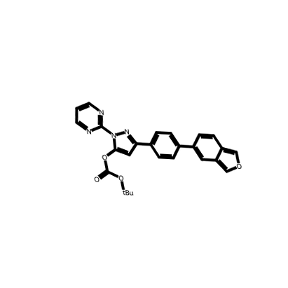 CC(C)(C)OC(=O)Oc1cc(-c2ccc(-c3ccc4cocc4c3)cc2)nn1-c1ncccn1